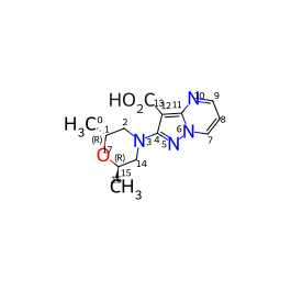 C[C@@H]1CN(c2nn3cccnc3c2C(=O)O)C[C@@H](C)O1